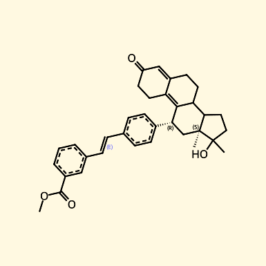 COC(=O)c1cccc(/C=C/c2ccc([C@H]3C[C@@]4(C)C(CCC4(C)O)C4CCC5=CC(=O)CCC5=C43)cc2)c1